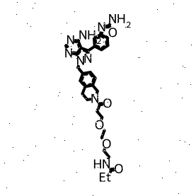 CCC(=O)NCCOCCOCCC(=O)N1CCc2cc(Cn3nc(-c4ccc5oc(N)nc5c4)c4c(N)ncnc43)ccc2C1